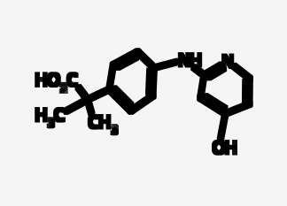 CC(C)(C(=O)O)c1ccc(Nc2cc(O)ccn2)cc1